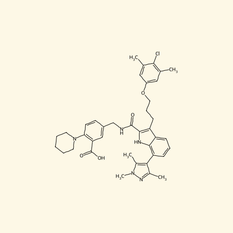 Cc1cc(OCCCc2c(C(=O)NCc3ccc(N4CCCCC4)c(C(=O)O)c3)[nH]c3c(-c4c(C)nn(C)c4C)cccc23)cc(C)c1Cl